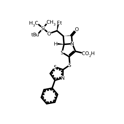 CC[C@H](O[Si](C)(C)C(C)(C)C)[C@@H]1C(=O)N2C(C(=O)O)=C(Sc3nc(-c4ccccc4)cs3)S[C@H]12